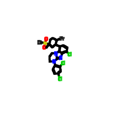 CCS(=O)(=O)C1(C)CCC(C(C)C)C(c2ccc(Cl)c3nc4n(c23)CCCN4c2ccc(Cl)cc2Cl)C1